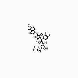 Cc1c(Cl)ccc2c(/C=C3\NC(=O)N(C(C(=O)NC(CO)COP(=O)(O)O)c4ccc(F)c(F)c4)C3=O)c[nH]c12